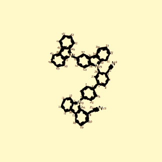 N#Cc1ccc(-c2ccc(-n3c4ccccc4c4cccc(C#N)c43)cc2)cc1-n1c2ccccc2c2cc(-n3c4ccccc4c4ccccc43)ccc21